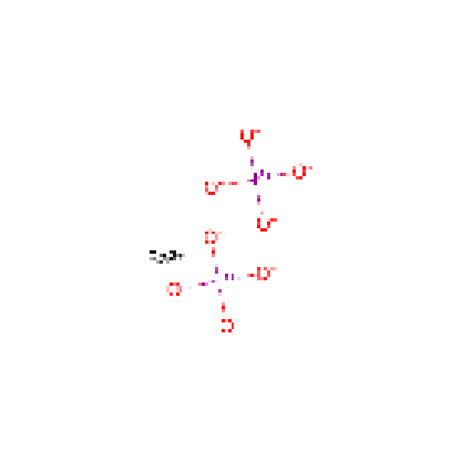 [Ba+2].[O-][I+3]([O-])([O-])[O-].[O-][I+3]([O-])([O-])[O-]